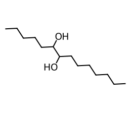 CCCCCCCC(O)C(O)CCCCC